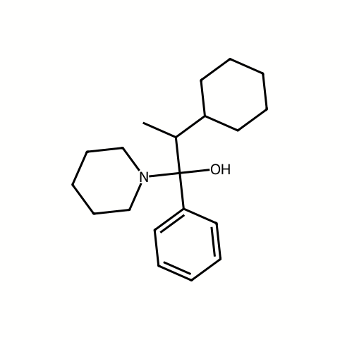 CC(C1CCCCC1)C(O)(c1ccccc1)N1CCCCC1